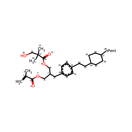 C=C(C)C(=O)OCC(COC(=O)C(C)(C)CO)Cc1ccc(CCC2CCC(CCCCC)CC2)cc1